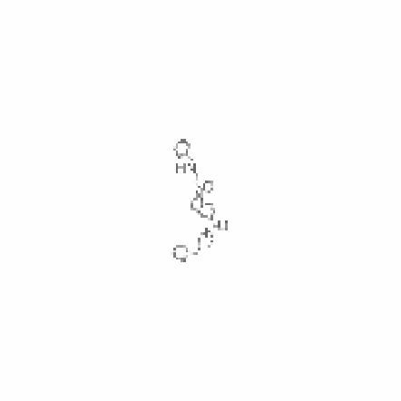 O=C(c1ccc2c(ccn2C(=O)CCNCc2ccccc2)c1)N1CCC(Cc2ccccc2)CC1